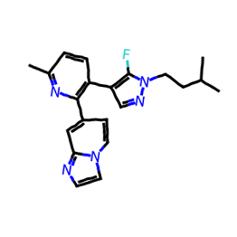 Cc1ccc(-c2cnn(CCC(C)C)c2F)c(-c2ccn3ccnc3c2)n1